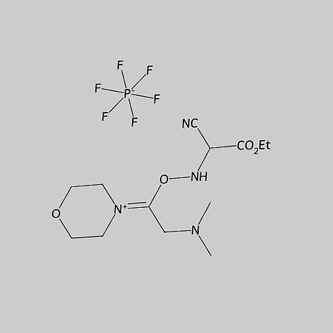 CCOC(=O)C(C#N)NOC(CN(C)C)=[N+]1CCOCC1.F[P-](F)(F)(F)(F)F